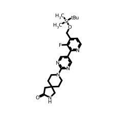 CC(C)(C)[Si](C)(C)OCc1ccnc(-c2cnc(N3CCC4(CC3)CNC(=O)C4)nc2)c1F